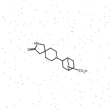 O=C1CC2(CCN(C3CC4CCC3CN4C(=O)O)CC2)CN1